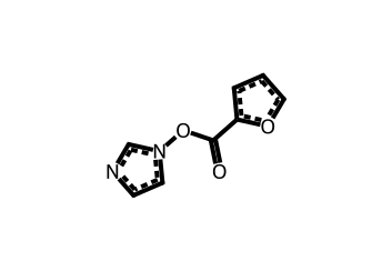 O=C(On1ccnc1)c1ccco1